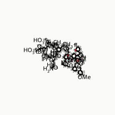 COc1ccc(COC(=O)[C@@H](Cc2ccccc2OCc2ccnc(-c3ccccc3OC)n2)Oc2ncnc3sc(-c4ccc(F)cc4)c(-c4ccc(OCCN5CC[N+](C)(Cc6ccc(NC(=O)[C@H](CCCNC(N)=O)NC(=O)[C@@H](NC(=O)OC(C)(C)C)C(C)C)cc6CN(C)C(=O)[C@H](CCCCNC(=O)CS(=O)(=O)O)NC(=O)CS(=O)(=O)O)CC5)c(Cl)c4C)c23)cc1